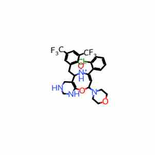 [O-][NH+]1/C(c2ccccc2Cl)=C\C(N2CCOCC2)OC2=C(CNCN2)C1Cc1cc(C(F)(F)F)cc(C(F)(F)F)c1